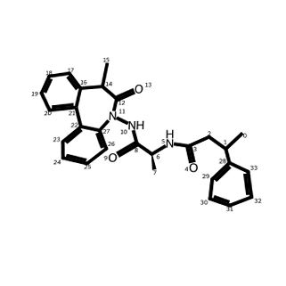 CC(CC(=O)N[C@@H](C)C(=O)NN1C(=O)C(C)c2ccccc2-c2ccccc21)c1ccccc1